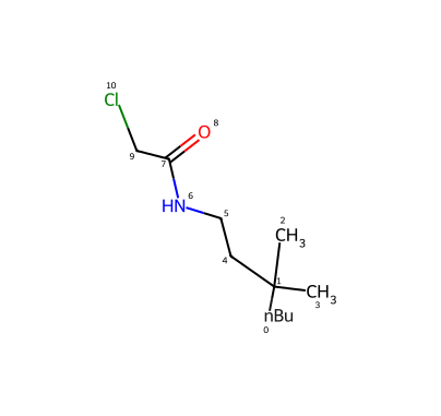 CCCCC(C)(C)CCNC(=O)CCl